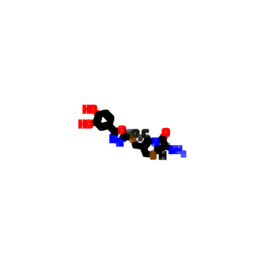 N[C@@H]1C(=O)N2C(C(=O)O)=C(CSc3nnc(-c4ccc(O)c(O)c4)o3)CS[C@@H]12